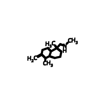 C=C1CCC2C(CCCC2(C)CNC)C1C